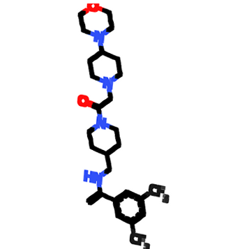 C=C(NCC1CCN(C(=O)CN2CCC(N3CCOCC3)CC2)CC1)c1cc(C(F)(F)F)cc(C(F)(F)F)c1